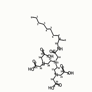 CCCCCCCCC(C)CNC(=O)CN(CCN(CC(=O)O)CC(=O)O)CCN(CC(=O)O)CC(=O)O